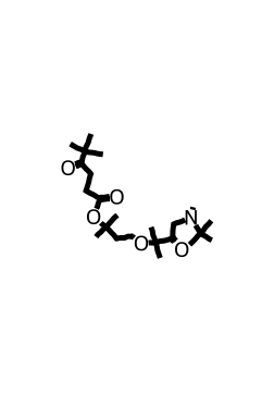 CN(CC(=O)C(C)(C)OCCC(C)(C)OC(=O)CCC(=O)C(C)(C)C)C(C)(C)C